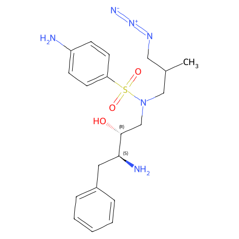 CC(CN=[N+]=[N-])CN(C[C@@H](O)[C@@H](N)Cc1ccccc1)S(=O)(=O)c1ccc(N)cc1